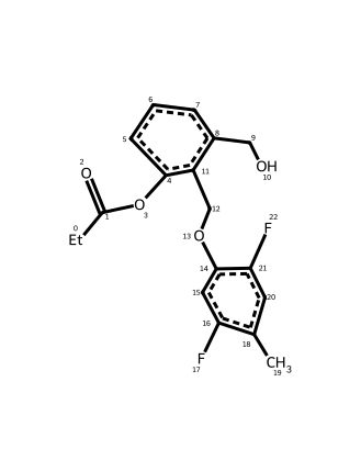 CCC(=O)Oc1cccc(CO)c1COc1cc(F)c(C)cc1F